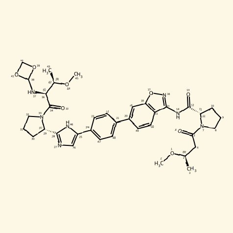 CO[C@H](C)CC(=O)N1CCC[C@H]1C(=O)Nc1noc2cc(-c3ccc(-c4cnc([C@@H]5CCCN5C(=O)[C@@H](NC5OCO5)[C@@H](C)OC)[nH]4)cc3)ccc12